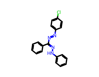 Clc1ccc(N=NC(=NNc2ccccc2)c2ccccc2)cc1